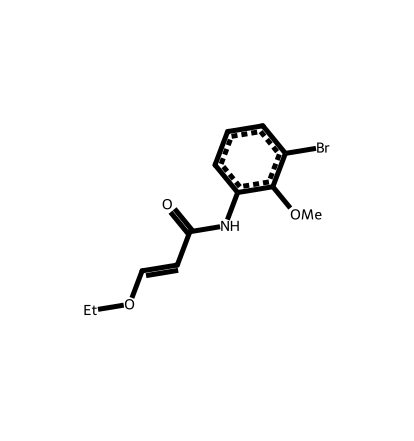 CCOC=CC(=O)Nc1cccc(Br)c1OC